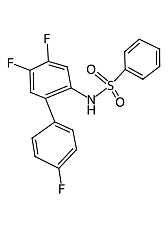 O=S(=O)(Nc1cc(F)c(F)cc1-c1ccc(F)cc1)c1ccccc1